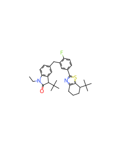 CCN1C(=O)C(C(C)(C)C)c2cc(Cc3cc(-c4nc5c(s4)C(C(C)(C)C)CCC5)ccc3F)ccc21